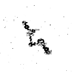 Cc1ncsc1-c1ccc(CNC(=O)[C@@H]2C[C@@H](O)CN2C(=O)[C@@H](NCCCCOc2ccncc2C2CN(C(=O)[C@@H]3CC[C@@H]4CCC[C@H](NC(=O)c5cc6cc(C(F)(F)P(=O)(O)O)ccc6s5)C(=O)N43)C2)C(C)(C)C)cc1